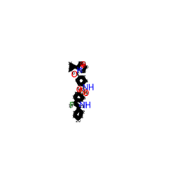 O=C([C@H]1CC[C@H](NS(=O)(=O)c2ccc3c(F)c(-c4ccccc4)[nH]c3c2)CC1)N1CCOC[C@@H]1C1CC1